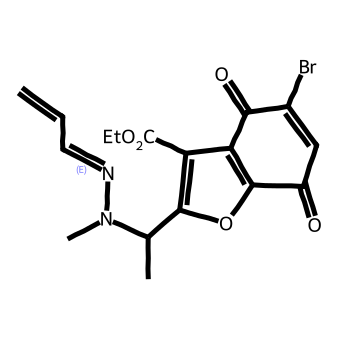 C=C/C=N/N(C)C(C)c1oc2c(c1C(=O)OCC)C(=O)C(Br)=CC2=O